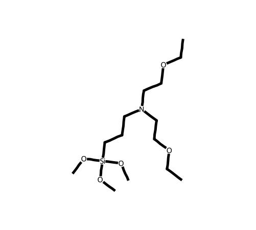 CCOCCN(CCC[Si](OC)(OC)OC)CCOCC